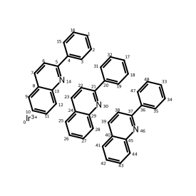 [Ir+3].c1ccc(-c2ccc3ccccc3n2)cc1.c1ccc(-c2ccc3ccccc3n2)cc1.c1ccc(-c2ccc3ccccc3n2)cc1